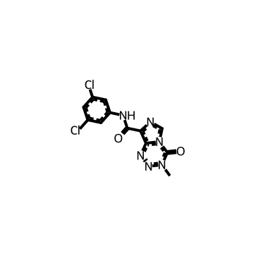 Cn1nnc2c(C(=O)Nc3cc(Cl)cc(Cl)c3)ncn2c1=O